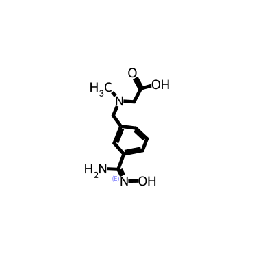 CN(CC(=O)O)Cc1cccc(/C(N)=N\O)c1